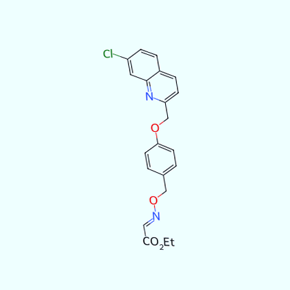 CCOC(=O)C=NOCc1ccc(OCc2ccc3ccc(Cl)cc3n2)cc1